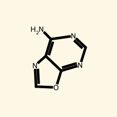 Nc1ncnc2ocnc12